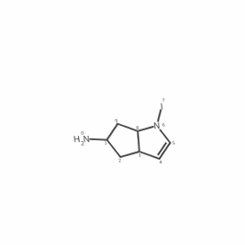 NC1CC2C=CN(I)C2C1